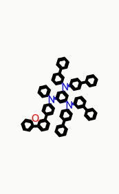 c1ccc(-c2ccc(N(c3cccc(-c4ccccc4)c3)c3cc(N(c4ccccc4)c4ccc(-c5cccc6c5oc5ccccc56)cc4)cc(N(c4ccc(-c5ccccc5)cc4)c4cccc(-c5ccccc5)c4)c3)cc2)cc1